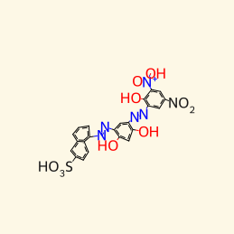 O=[N+]([O-])c1cc(/N=N/c2cc(/N=N/c3cccc4cc(S(=O)(=O)O)ccc34)c(O)cc2O)c(O)c([N+](=O)O)c1